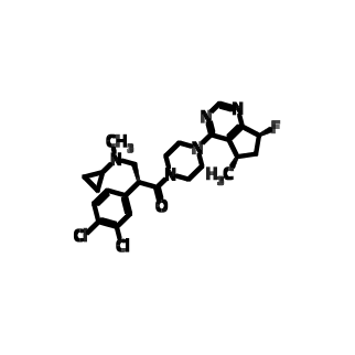 C[C@@H]1C[C@H](F)c2ncnc(N3CCN(C(=O)[C@H](CN(C)C4CC4)c4ccc(Cl)c(Cl)c4)CC3)c21